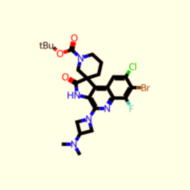 CN(C)C1CN(c2nc3c(F)c(Br)c(Cl)cc3c3c2NC(=O)C32CCCN(C(=O)OC(C)(C)C)C2)C1